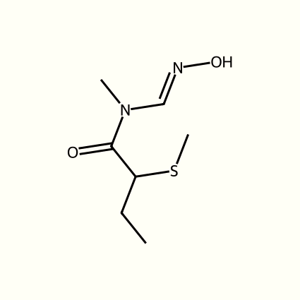 CCC(SC)C(=O)N(C)C=NO